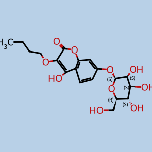 CCCCOc1c(O)c2ccc(O[C@@H]3O[C@H](CO)[C@@H](O)[C@H](O)[C@@H]3O)cc2oc1=O